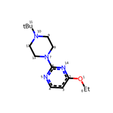 CCOc1ccnc(N2CCN(C(C)(C)C)CC2)n1